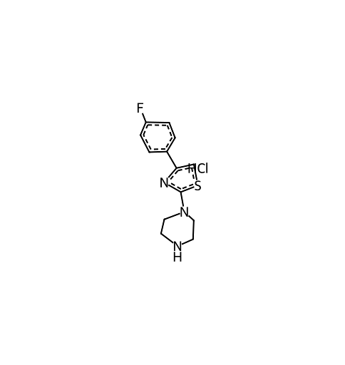 Cl.Fc1ccc(-c2csc(N3CCNCC3)n2)cc1